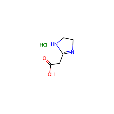 Cl.O=C(O)CC1=NCCN1